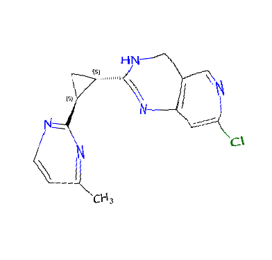 Cc1ccnc([C@H]2C[C@@H]2C2=Nc3cc(Cl)ncc3CN2)n1